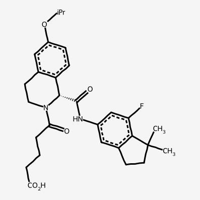 CC(C)Oc1ccc2c(c1)CCN(C(=O)CCCC(=O)O)[C@H]2C(=O)Nc1cc(F)c2c(c1)CCC2(C)C